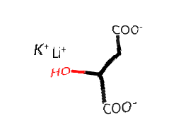 O=C([O-])CC(O)C(=O)[O-].[K+].[Li+]